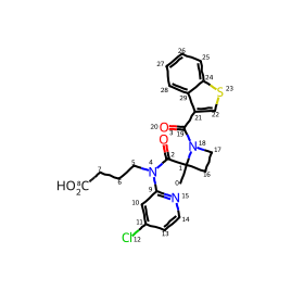 CC1(C(=O)N(CCCC(=O)O)c2cc(Cl)ccn2)CCN1C(=O)c1csc2ccccc12